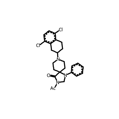 CC(=O)N1CN(c2ccccc2)C2(CCN(C3CCc4c(Cl)ccc(Cl)c4C3)CC2)C1=O